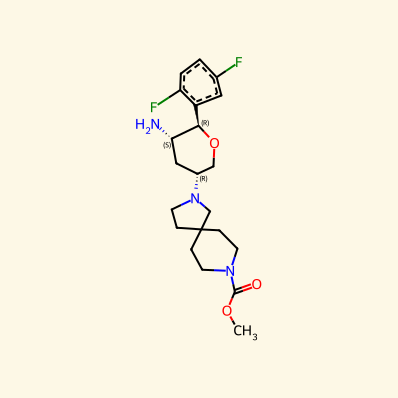 COC(=O)N1CCC2(CC1)CCN([C@H]1CO[C@H](c3cc(F)ccc3F)[C@@H](N)C1)C2